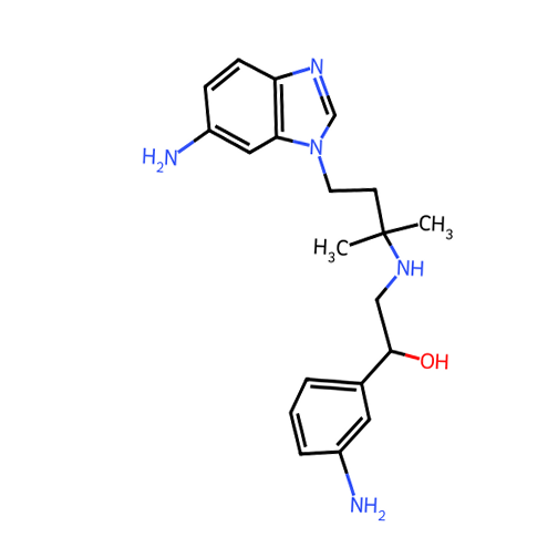 CC(C)(CCn1cnc2ccc(N)cc21)NCC(O)c1cccc(N)c1